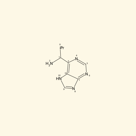 CC(C)C(N)c1ncnc2nc[nH]c12